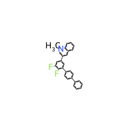 C[n+]1cc(-c2cc(F)c(F)c(-c3ccc(-c4ccccc4)cc3)c2)cc2ccccc21